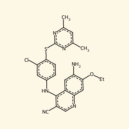 CCOc1cc2ncc(C#N)c(Nc3ccc(Sc4nc(C)cc(C)n4)c(Cl)c3)c2cc1N